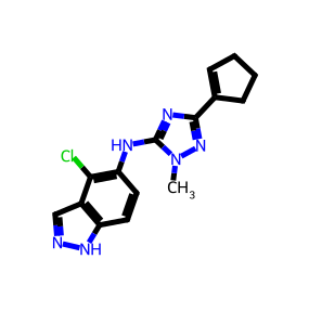 Cn1nc(C2=CCCC2)nc1Nc1ccc2[nH]ncc2c1Cl